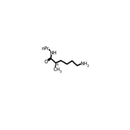 CCCNC(=O)[C@H](C)CCCCN